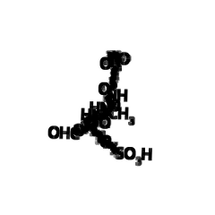 CC(NC(=O)CNC(=O)CCCCCN1C(=O)C=CC1=O)C(=O)Nc1ccc(COC=O)c(CCCOCCCS(=O)(=O)O)c1